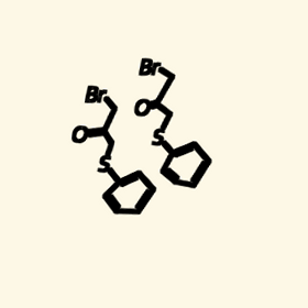 O=C(CBr)CSc1ccccc1.O=C(CBr)CSc1ccccc1